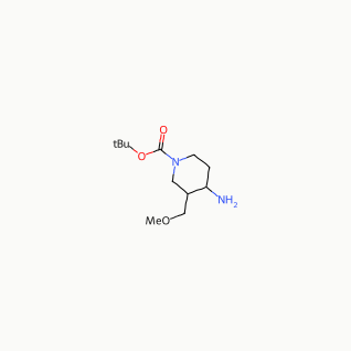 COCC1CN(C(=O)OC(C)(C)C)CCC1N